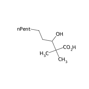 CCCCCCCC(O)C(C)(C)C(=O)O